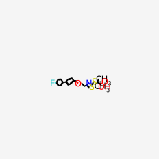 CC(C)(Sc1nc(CCOCc2ccc(-c3ccc(F)cc3)cc2)cs1)C(=O)O